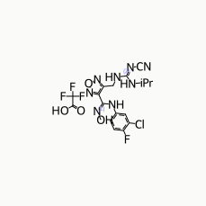 CC(C)N/C(=N\C#N)NCc1nonc1/C(=N/O)Nc1ccc(F)c(Cl)c1.O=C(O)C(F)(F)F